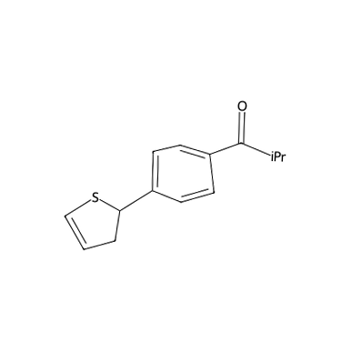 CC(C)C(=O)c1ccc(C2CC=CS2)cc1